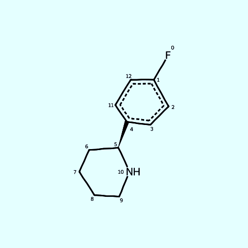 Fc1ccc([C@@H]2CCCCN2)cc1